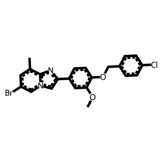 COc1cc(-c2cn3cc(Br)cc(C)c3n2)ccc1OCc1ccc(Cl)cc1